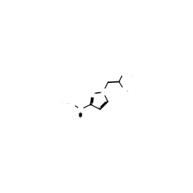 COS(=O)c1ccn(CC(C)O)n1